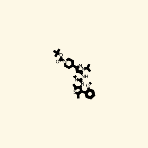 C=N/C(=N\C1C(c2ccccc2OC)=C(C)SC1C)Nc1cc(C2CCN(C(=O)OC(C)(C)C)CC2)nn1C(C)C